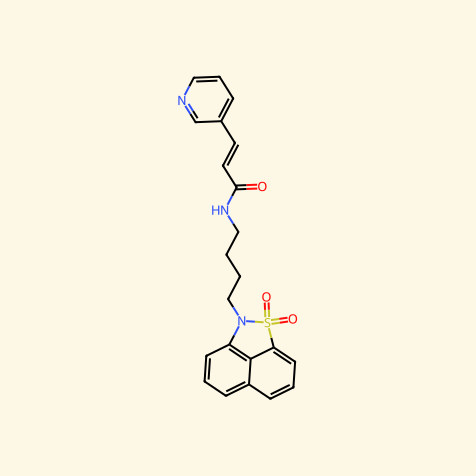 O=C(C=Cc1cccnc1)NCCCCN1c2cccc3cccc(c23)S1(=O)=O